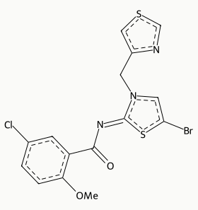 COc1ccc(Cl)cc1C(=O)/N=c1\sc(Br)cn1Cc1cscn1